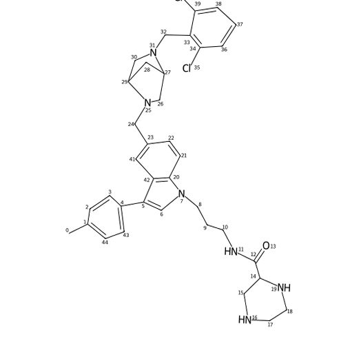 Cc1ccc(-c2cn(CCCNC(=O)C3CNCCN3)c3ccc(CN4CC5CC4CN5Cc4c(Cl)cccc4Cl)cc23)cc1